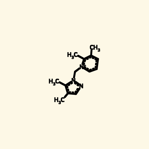 Cc1cnn(C[n+]2cccc(C)c2C)c1C